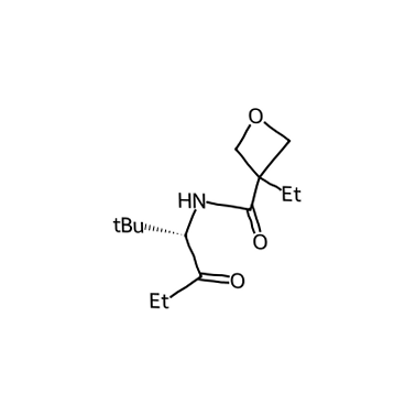 CCC(=O)[C@@H](NC(=O)C1(CC)COC1)C(C)(C)C